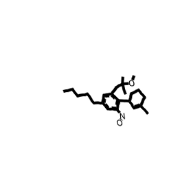 CCCCCc1cc(CC(C)(C)OC)c(C2C=C(C)CCC2)c(N=O)c1